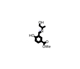 COC(=O)c1ccc(O)c(/C=N/C(C)CO)c1